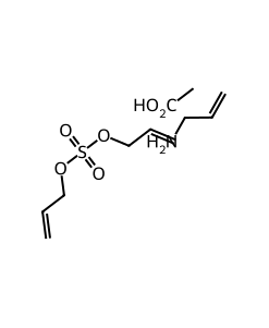 C=CCN.C=CCOS(=O)(=O)OCC=C.CC(=O)O